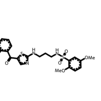 COc1ccc(OC)c(S(=O)(=O)NCCCNc2ncc(C(=O)c3ccccc3C)s2)c1